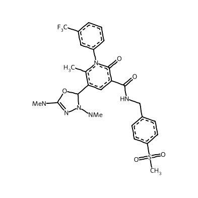 CNC1=NN(NC)C(c2cc(C(=O)NCc3ccc(S(C)(=O)=O)cc3)c(=O)n(-c3cccc(C(F)(F)F)c3)c2C)O1